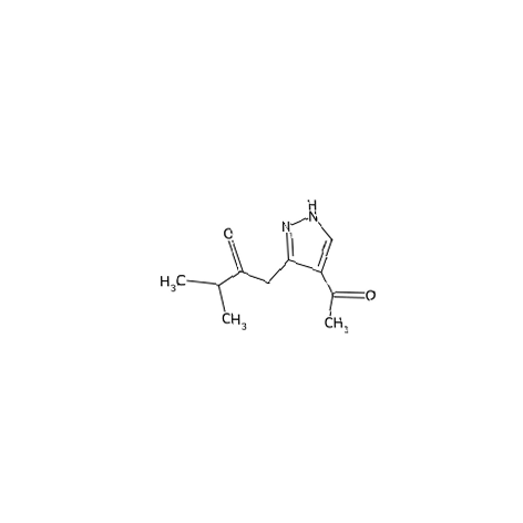 CC(=O)c1c[nH]nc1CC(=O)C(C)C